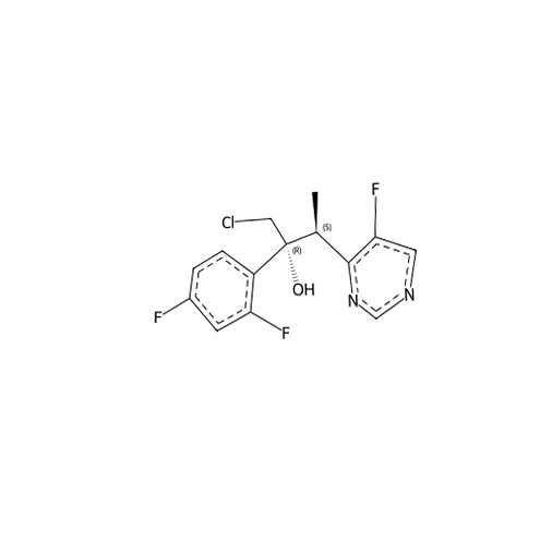 C[C@@H](c1ncncc1F)[C@](O)(CCl)c1ccc(F)cc1F